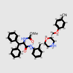 COC(=O)NC(C(=O)Nc1ccccc1C[C@H]1CNC[C@@H](COc2ccc(C#N)cc2)O1)C(c1ccccc1)c1ccccc1